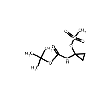 CC(C)(C)OC(=O)NC1(OS(C)(=O)=O)CC1